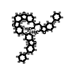 C=C/C(=C\c1c(C)oc2ccc(-c3ccccc3)cc12)c1ccc2oc3ccc4oc5ccc(-c6ccc7oc8ccc(-c9ccccc9)cc8c7c6)cc5c4c3c2c1